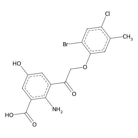 Cc1cc(OCC(=O)c2cc(O)cc(C(=O)O)c2N)c(Br)cc1Cl